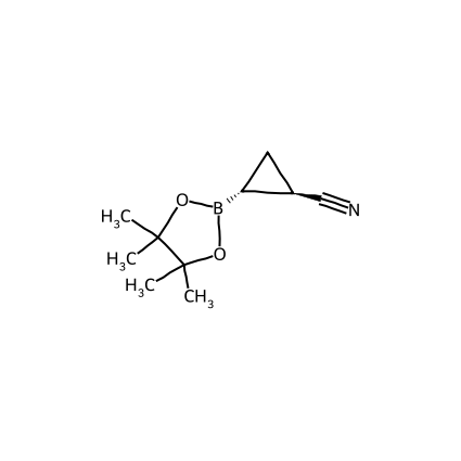 CC1(C)OB([C@@H]2C[C@H]2C#N)OC1(C)C